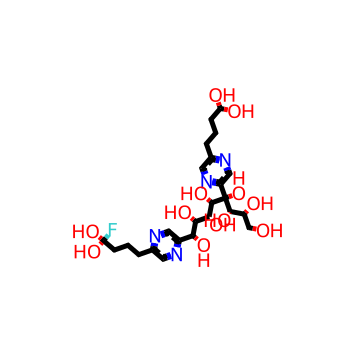 OCC(O)C(O)C(O)(c1cnc(CCCC(O)O)cn1)C(O)C(O)C(O)C(O)c1cnc(CCCC(O)(O)F)cn1